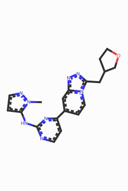 Cn1nccc1Nc1nccc(-c2ccn3c(CC4CCOC4)nnc3c2)n1